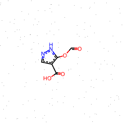 O=COc1[nH]ncc1C(=O)O